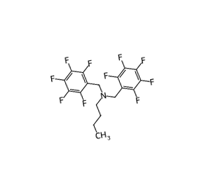 CCCCN(Cc1c(F)c(F)c(F)c(F)c1F)Cc1c(F)c(F)c(F)c(F)c1F